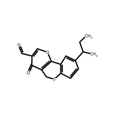 CCC(C)c1ccc2c(c1)-c1occ(C=O)c(=O)c1CS2